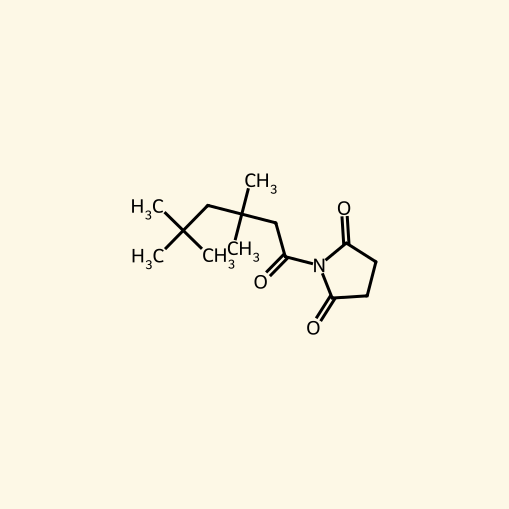 CC(C)(C)CC(C)(C)CC(=O)N1C(=O)CCC1=O